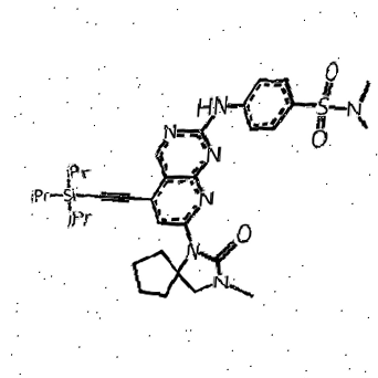 CC(C)[Si](C#Cc1cc(N2C(=O)N(C)CC23CCCC3)nc2nc(Nc3ccc(S(=O)(=O)N(C)C)cc3)ncc12)(C(C)C)C(C)C